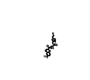 CCN(CCNC(=O)c1cnc2cc([125I])ccc2n1)Cc1cn(CCF)nn1